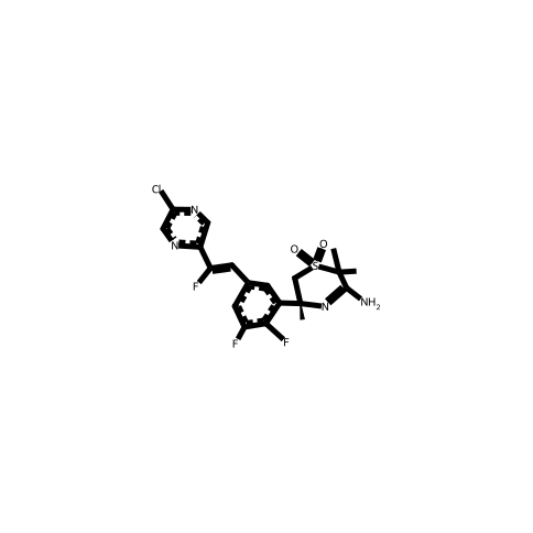 CC1(C)C(N)=N[C@](C)(c2cc(/C=C(\F)c3cnc(Cl)cn3)cc(F)c2F)CS1(=O)=O